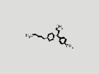 C=CCC(c1ccc(C)cc1)[C@H]1CC[C@H](CCCCC)CC1